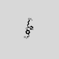 CCCCC[C@H](Oc1ccc(SC)cc1)n1ccnc1